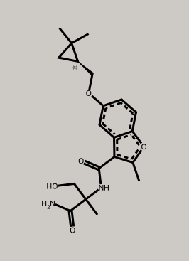 Cc1oc2ccc(OC[C@H]3CC3(C)C)cc2c1C(=O)NC(C)(CO)C(N)=O